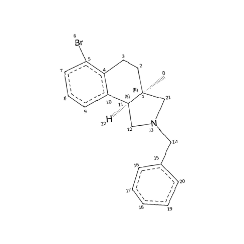 C[C@@]12CCc3c(Br)cccc3[C@@H]1CN(Cc1ccccc1)C2